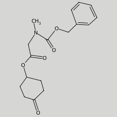 CN(CC(=O)OC1CCC(=O)CC1)C(=O)OCc1ccccc1